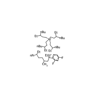 CCCC(CC)CCC(C)C[PH+](CC)c1ccc(F)cc1F.CCCCC(CC)C[CH2][Al-]([CH2]CC(CC)CCCC)([CH2]CC(CC)CCCC)[CH2]CC(CC)CCCC